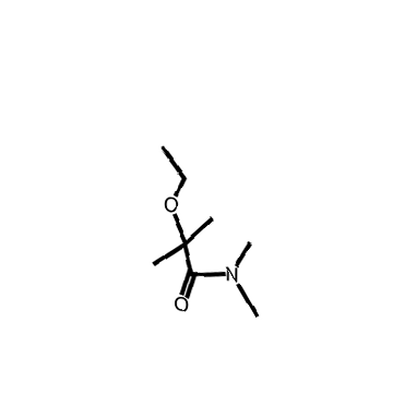 CCOC(C)(C)C(=O)N(C)C